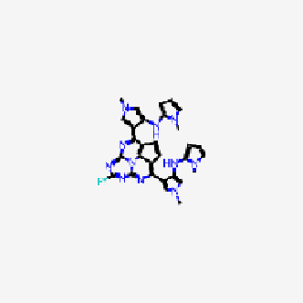 Cn1cc(Nc2cccn2C)c(-c2nc3nc(F)nc4nc(-c5cn(C)cc5Nc5cccn5C)c5ccc2c5n34)c1